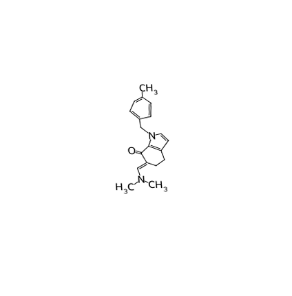 Cc1ccc(Cn2ccc3c2C(=O)/C(=C/N(C)C)CC3)cc1